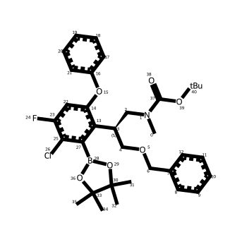 CN(C[C@@H](COCc1ccccc1)c1c(Oc2ccccc2)cc(F)c(Cl)c1B1OC(C)(C)C(C)(C)O1)C(=O)OC(C)(C)C